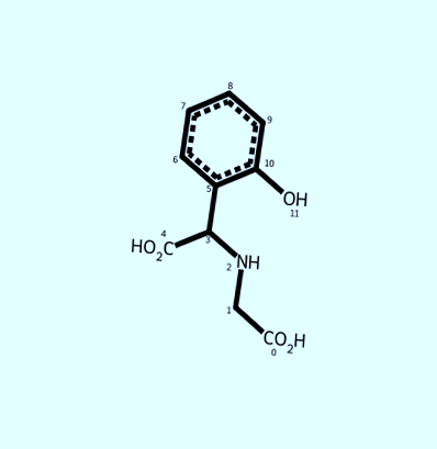 O=C(O)CNC(C(=O)O)c1ccccc1O